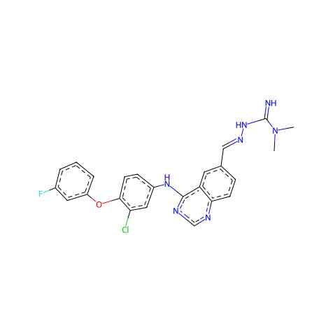 CN(C)C(=N)N/N=C/c1ccc2ncnc(Nc3ccc(Oc4cccc(F)c4)c(Cl)c3)c2c1